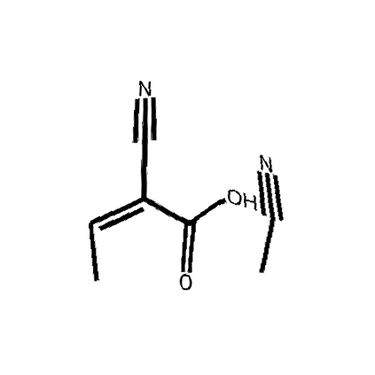 CC#N.CC=C(C#N)C(=O)O